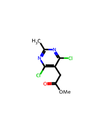 COC(=O)Cc1c(Cl)nc(C)nc1Cl